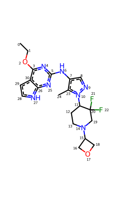 CCOc1nc(Nc2cnn(C3CCN(C4COC4)CC3(F)F)c2C)nc2[nH]ccc12